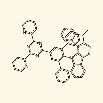 CC1c2ccccc2-c2c1ccc1c3ccccc3n(-c3c(-c4ccccc4)cc(-c4nc(-c5ccccn5)nc(-c5ccccn5)n4)cc3-c3ccccc3)c21